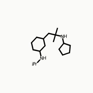 CC(C)NC1CCCC(CC(C)(C)NC2CCCC2)C1